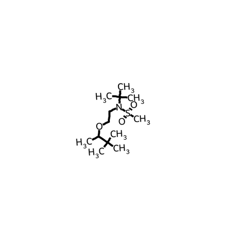 CC(OCCN(C(C)(C)C)S(C)(=O)=O)C(C)(C)C